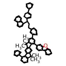 CC1(C)c2cc3c(cc2-c2c(-c4ccccc4)cccc21)C(C)(C)c1cc(-c2cccc(CCC(C4=CC=C(c5ccccc5)CC4)c4cccc5ccccc45)c2)cc(-c2ccc4c(c2)oc2ccccc24)c1-3